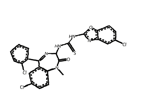 CN1C(=O)C(NC(=S)Nc2nc3cc(Cl)ccc3o2)N=C(c2ccccc2Cl)c2cc(Cl)ccc21